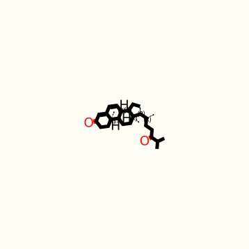 CC(C)C(=O)CC[C@@H](C)[C@H]1CC[C@H]2[C@@H]3C=CC4=CC(=O)CC[C@]4(C)[C@H]3CC[C@]12C